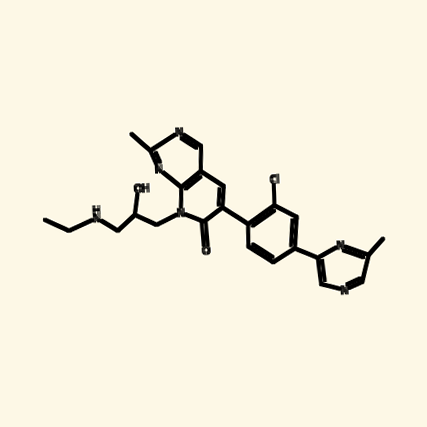 CCNCC(O)Cn1c(=O)c(-c2ccc(-c3cncc(C)n3)cc2Cl)cc2cnc(C)nc21